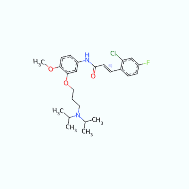 COc1ccc(NC(=O)/C=C/c2ccc(F)cc2Cl)cc1OCCCN(C(C)C)C(C)C